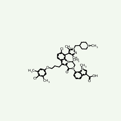 Cc1cc(OCCCc2c3n(c4c(-c5c(C)nn(CC6CCN(C)CC6)c5C)c(Cl)ccc24)C(C)CN(c2cccc4c(C(=O)O)cn(C)c24)C3=O)cc(C)c1Cl